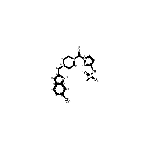 CS(=O)(=O)Nc1ccn(C(=O)N2CCN(Cc3cc4ccc(C(F)(F)F)cc4s3)CC2)n1